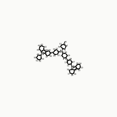 Cc1ccc(N(c2ccc(-c3ccc(-n4c5ccccc5c5ccccc54)cc3)cc2)c2ccc(-c3ccc4c(c3)c3ccccc3n4-c3ccccc3)cc2)cc1